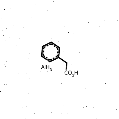 O=C(O)Cc1ccccc1.[AlH3]